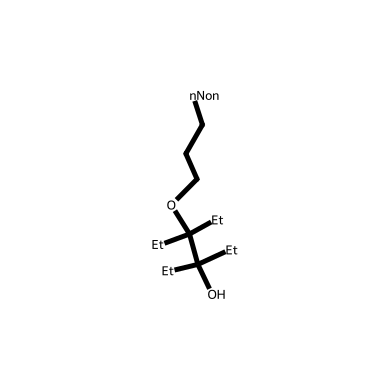 CCCCCCCCCCCCOC(CC)(CC)C(O)(CC)CC